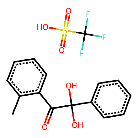 Cc1ccccc1C(=O)C(O)(O)c1ccccc1.O=S(=O)(O)C(F)(F)F